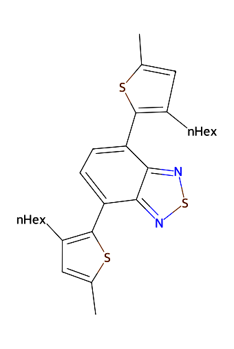 CCCCCCc1cc(C)sc1-c1ccc(-c2sc(C)cc2CCCCCC)c2nsnc12